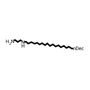 CCCCCCCCCCCCCCCCCCCCCCCCCCCCNCCCN